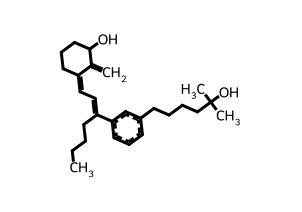 C=C1/C(=C\C=C(/CCCC)c2cccc(CCCCC(C)(C)O)c2)CCCC1O